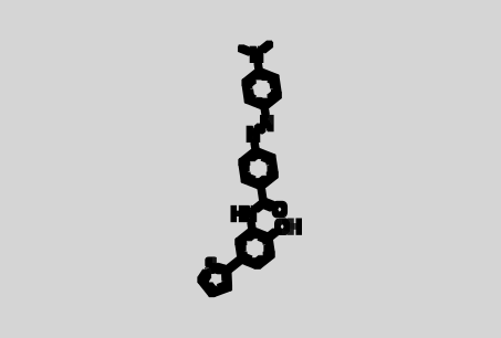 CN(C)c1ccc(N=Nc2ccc(C(=O)Nc3cc(-c4cccs4)ccc3O)cc2)cc1